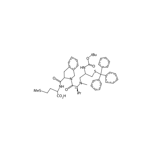 CSCCC(NC(=O)C1Cc2ccccc2CN1C(=O)[C@H](C(C)C)N(C)CC(CSC(c1ccccc1)(c1ccccc1)c1ccccc1)NC(=O)OC(C)(C)C)C(=O)O